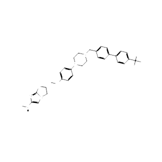 O=[N+]([O-])c1cn2c(n1)O[C@H](COc1ccc(N3CCN(Cc4ccc(-c5ccc(C(F)(F)F)cc5)cc4)CC3)cc1)C2